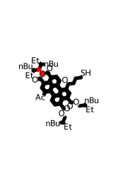 CCCCC(CC)COC(=O)c1ccc2c3c(C(=O)CCCS)cc(C(=O)OCC(CC)CCCC)c4c(C(=O)OCC(CC)CCCC)ccc(c5c(C(C)=O)cc(C(=O)OCC(CC)CCCC)c1c25)c43